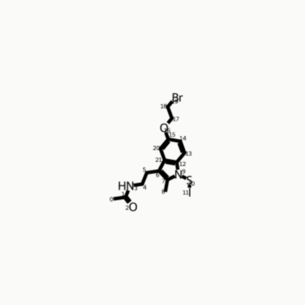 CC(=O)NCCc1c(C)n(SI)c2ccc(OCCBr)cc12